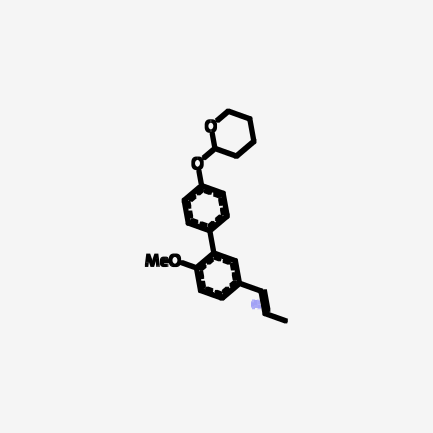 C/C=C/c1ccc(OC)c(-c2ccc(OC3CCCCO3)cc2)c1